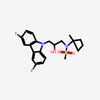 CC1(N(CC(O)Cn2c3ccc(F)cc3c3cc(F)ccc32)S(C)(=O)=O)CCC1